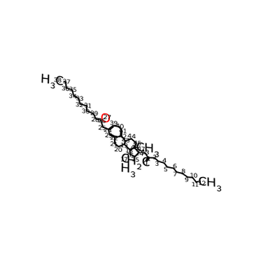 C=C(CCCCCCCCCCC)C[C@H]1C[C@@H](C)C2C3CCC4=CC(CC(=O)CCCCCCCCCCC)=CCC=C4C3CCC21C